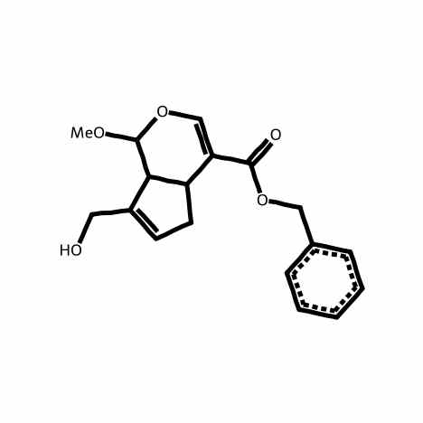 COC1OC=C(C(=O)OCc2ccccc2)C2CC=C(CO)C12